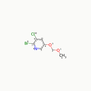 COCOc1cnc(Br)c(Cl)c1